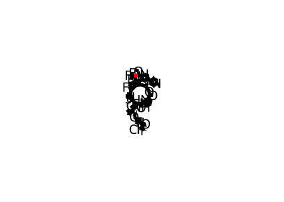 COC(C)c1ncc(N2CCN(C)CC2)cc1-c1c2c3cc(c(F)cc3n1CC(F)(F)F)-c1csc(n1)C[C@H](NC(=O)[C@@H](COC1CN(C(=O)C(F)Cl)C1)C(C)C)C(=O)N1CCCC(N1)C(=O)OCC(C)C2